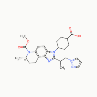 COC(=O)N1c2ccc3c(nc(C(C)Cn4cccn4)n3C3CCC(C(=O)O)CC3)c2CC[C@@H]1C